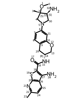 CO[C@@]1(C)CN(c2ccc3c(c2)OC[C@H](NC(=O)c2sc4nc(C)ccc4c2N)C3)C[C@@H]1N